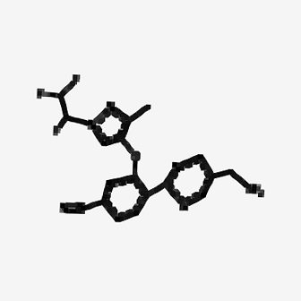 Cc1nn(C(F)C(F)F)cc1Oc1cc(C#N)ccc1-c1ncc(CN)cn1